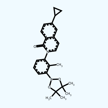 Cc1c(B2OC(C)(C)C(C)(C)O2)cccc1-n1ccc2cc(C3CC3)ccc2c1=O